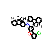 CC1(C)c2ccccc2-c2ccc(N(c3ccc4c(c3)oc3cccc(Cl)c34)c3cccc4c3C(C)(C)c3ccccc3-4)cc21